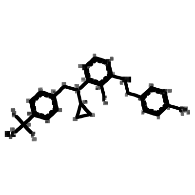 Cc1ccc(CNc2ncnc(N(Cc3ccc(C(C)(F)F)cc3)C3CC3)c2F)cn1